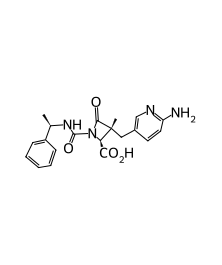 C[C@@H](NC(=O)N1C(=O)[C@](C)(Cc2ccc(N)nc2)[C@H]1C(=O)O)c1ccccc1